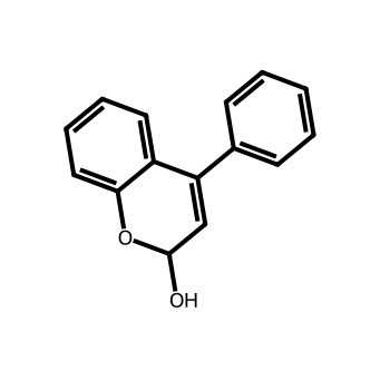 OC1C=C(c2ccccc2)c2ccccc2O1